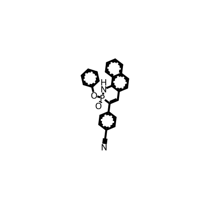 N#Cc1ccc(C2=Cc3ccc4ccccc4c3NP2(=O)Oc2ccccc2)cc1